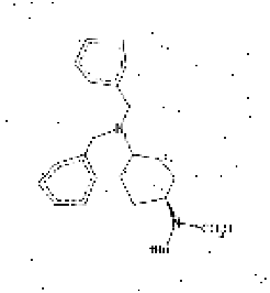 CC(C)(C)N(C(=O)O)[C@H]1CC[C@H](N(Cc2ccccc2)Cc2ccccc2)CC1